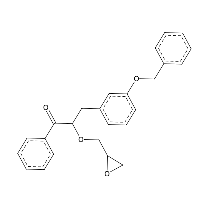 O=C(c1ccccc1)C(Cc1cccc(OCc2ccccc2)c1)OCC1CO1